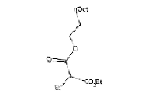 CCCCCCCCCCOC(=O)C(CC)C(=O)OCC